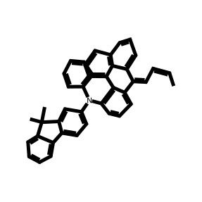 C/C=C\C=c1\c2cccc(N(c3ccccc3)c3ccc4c(c3)C(C)(C)c3ccccc3-4)c2c2cccc3cccc1c32